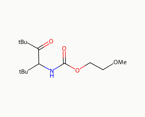 COCCOC(=O)NC(C(=O)C(C)(C)C)C(C)(C)C